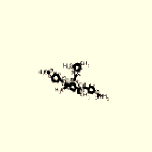 CCC(C)(OC(=O)C1CCC(OC(N)=O)CC1)c1ccc(C(C)(CC)OC(=O)C2CCC(OC(C)=O)CC2)c2sc(-c3nc4c(C)cc(C)cc4s3)nc12